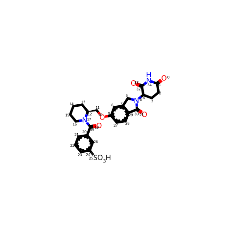 O=C1CCC(N2Cc3cc(OC[C@@H]4CCCCN4C(=O)c4cccc(S(=O)(=O)O)c4)ccc3C2=O)C(=O)N1